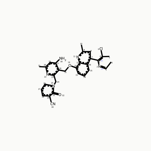 C/C=N\C(=C(/C)Cl)c1cc(C)nc2c(OCc3c(N)cc(C)nc3Cn3cccc(C#N)c3=O)cccc12